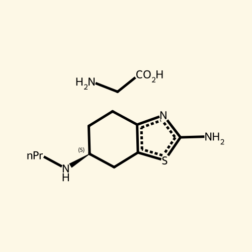 CCCN[C@H]1CCc2nc(N)sc2C1.NCC(=O)O